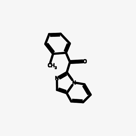 Cc1ccccc1C(=O)c1ncc2ccccn12